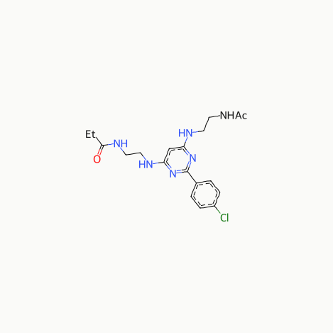 CCC(=O)NCCNc1cc(NCCNC(C)=O)nc(-c2ccc(Cl)cc2)n1